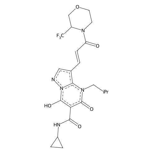 CC(C)Cn1c(=O)c(C(=O)NC2CC2)c(O)n2ncc(C=CC(=O)N3CCOCC3C(F)(F)F)c12